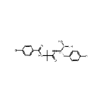 CC(C)(NC(=O)c1ccc(Cl)cc1)C(=O)N[C@@H](Cc1ccc(Cl)cc1)B(O)O